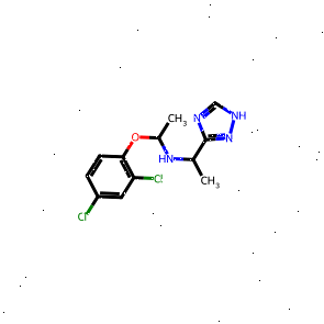 CC(NC(C)c1nc[nH]n1)Oc1ccc(Cl)cc1Cl